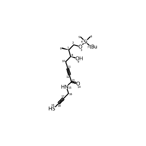 C[C@@H](CO[Si](C)(C)C(C)(C)C)[C@@H](O)CC#CC(=O)NCC#CS